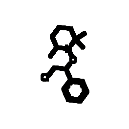 CC1CCCC(C)(C)N1OC(CCl)c1ccccc1